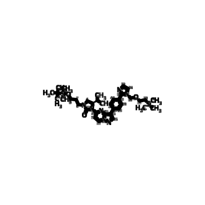 CC(C)[C@H]1CN(CCCO[Si](C)(C)C(C)(C)C)C(=O)N1c1ccn2ncc(-c3ccc(-c4nccn4COCC[Si](C)(C)C)cc3)c2n1